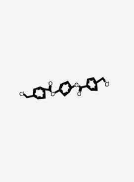 O=C(Oc1ccc(OC(=O)c2ccc(CCl)cc2)cc1)c1ccc(CCl)cc1